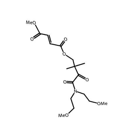 COCCN(CCOC)C(=O)C(=O)C(C)(C)COC(=O)/C=C/C(=O)OC